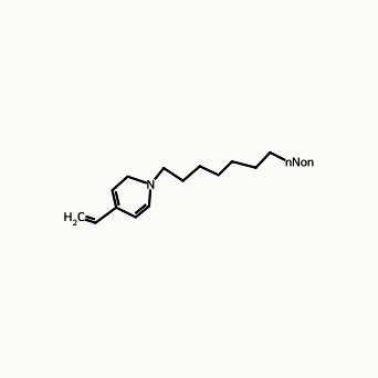 C=CC1=CCN(CCCCCCCCCCCCCCCC)C=C1